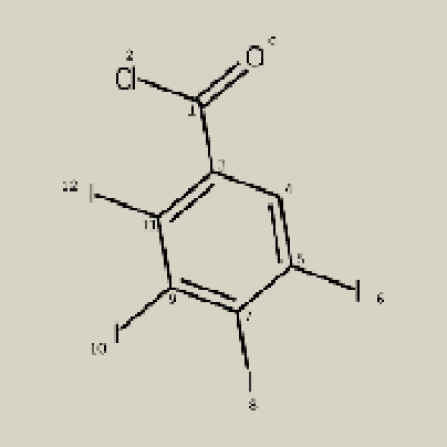 O=C(Cl)c1cc(I)c(I)c(I)c1I